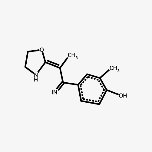 C/C(C(=N)c1ccc(O)c(C)c1)=C1/NCCO1